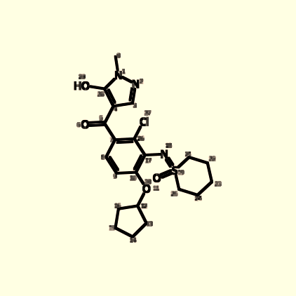 Cn1ncc(C(=O)c2ccc(OC3CCCC3)c(N=S3(=O)CCCCC3)c2Cl)c1O